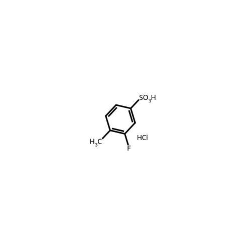 Cc1ccc(S(=O)(=O)O)cc1F.Cl